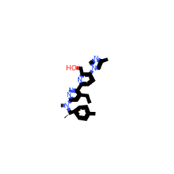 CCc1cc(N(C)[C@@H](C)c2ccc(C)cc2)nnc1-c1ccc(-n2cnc(C)c2)c(CO)n1